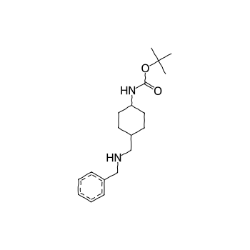 CC(C)(C)OC(=O)NC1CCC(CNCc2ccccc2)CC1